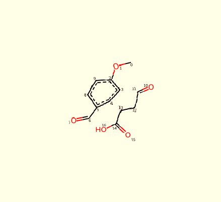 COc1ccc(C=O)cc1.O=CCCC(=O)O